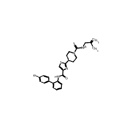 C=C(C)CNC(=S)N1CCC(c2nc(C(=O)Nc3ccccc3-c3ccc(CC)cc3)cs2)CC1